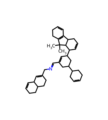 CC1(C)C2=C(C=CCC2)C2CC=CC(C3C=C(/C=N/CC4=CC5C=CCCC5CC4)CC(C4CC=CCC4)C3)C21